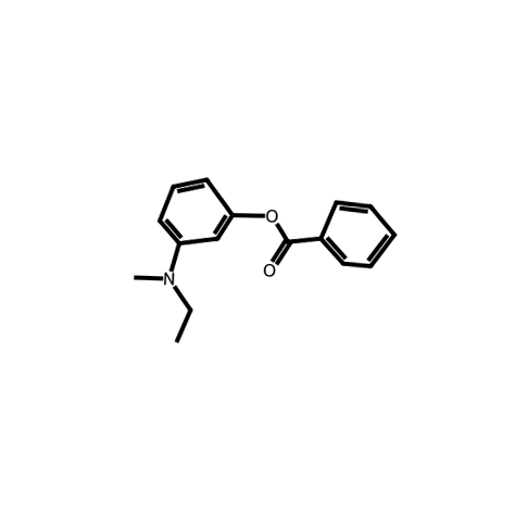 CCN(C)c1cccc(OC(=O)c2ccccc2)c1